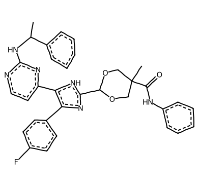 CC(Nc1nccc(-c2[nH]c(C3OCC(C)(C(=O)Nc4ccccc4)CO3)nc2-c2ccc(F)cc2)n1)c1ccccc1